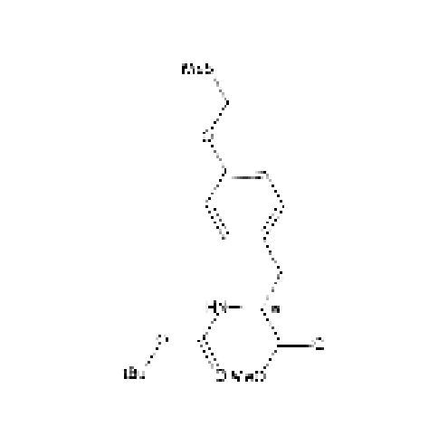 COC(=O)[C@@H](Cc1ccc(OCSC)cc1)NC(=O)OC(C)(C)C